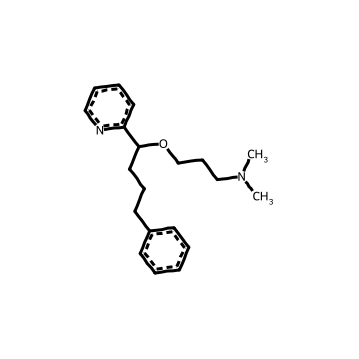 CN(C)CCCOC(CCCc1ccccc1)c1ccccn1